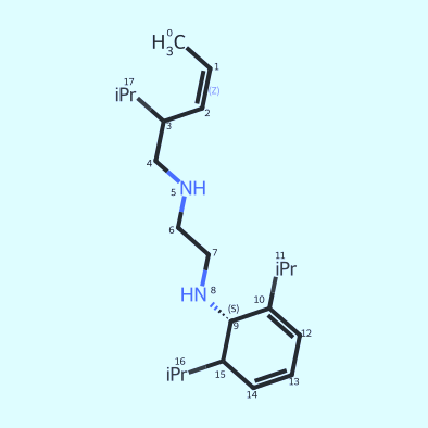 C/C=C\C(CNCCN[C@@H]1C(C(C)C)=CC=CC1C(C)C)C(C)C